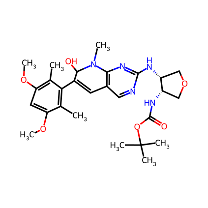 COc1cc(OC)c(C)c(C2=Cc3cnc(N[C@@H]4COC[C@@H]4NC(=O)OC(C)(C)C)nc3N(C)C2O)c1C